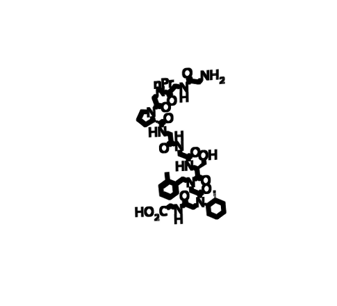 CCCN(CC(=O)N1CCC[C@H]1C(=O)NCC(=O)NCC(=O)N[C@@H](CO)C(=O)N(CC(=O)N(CC(=O)NCC(=O)O)[C@H]1CCCC[C@H]1C)Cc1ccccc1C)C(=O)CNC(=O)CN